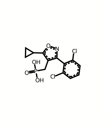 O=P(O)(O)Cc1c(-c2c(Cl)cccc2Cl)noc1C1CC1